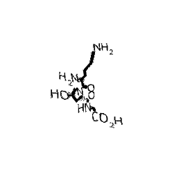 NCCCC[C@H](N)C(=O)N1C[C@H](O)C[C@H]1C(=O)NCC(=O)O